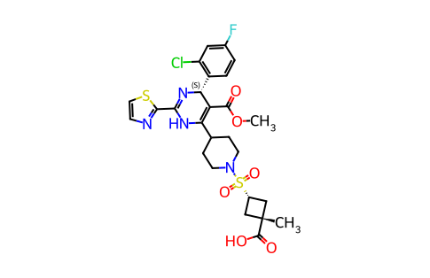 COC(=O)C1=C(C2CCN(S(=O)(=O)[C@H]3C[C@@](C)(C(=O)O)C3)CC2)NC(c2nccs2)=N[C@@H]1c1ccc(F)cc1Cl